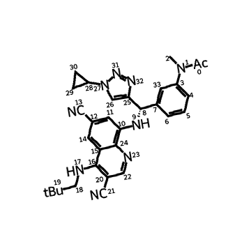 CC(=O)N(C)c1cccc([C@H](Nc2cc(C#N)cc3c(NCC(C)(C)C)c(C#N)cnc23)c2cn(C3CC3)nn2)c1